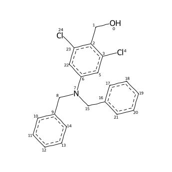 OCc1c(Cl)cc(N(Cc2ccccc2)Cc2ccccc2)cc1Cl